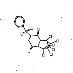 O=C1CC(S(=O)(=O)c2ccccc2)C(=O)C2C1C1(Cl)C(Cl)=C(Cl)C2(Cl)C1(Cl)Cl